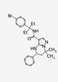 CCC(CC)(NC(=O)c1cnn2c1NC(c1ccccc1)CC2(C)C)c1ccc(Br)cc1